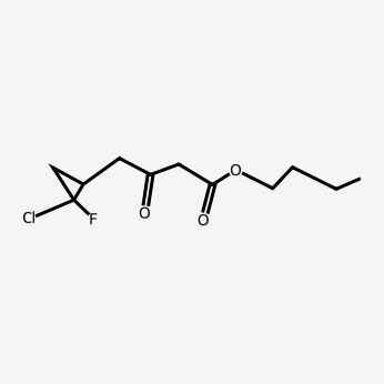 CCCCOC(=O)CC(=O)CC1CC1(F)Cl